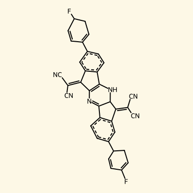 N#CC(C#N)=C1C2=C(NC3C(=N2)c2ccc(C4C=CC(F)=CC4)cc2C3=C(C#N)C#N)c2ccc(C3=CCC(F)C=C3)cc21